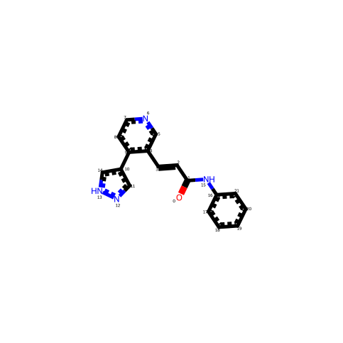 O=C(/C=C/c1cnccc1-c1cn[nH]c1)Nc1ccccc1